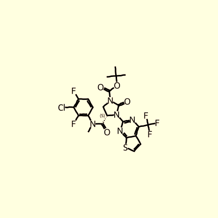 CN(C(=O)[C@@H]1CN(C(=O)OC(C)(C)C)C(=O)N1c1nc(C(F)(F)F)c2ccsc2n1)c1ccc(F)c(Cl)c1F